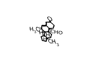 C[C@@H]1C=C2CC(=O)CC[C@]2(C=O)[C@H]2CC[C@]3(C)CCC[C@H]3[C@H]12